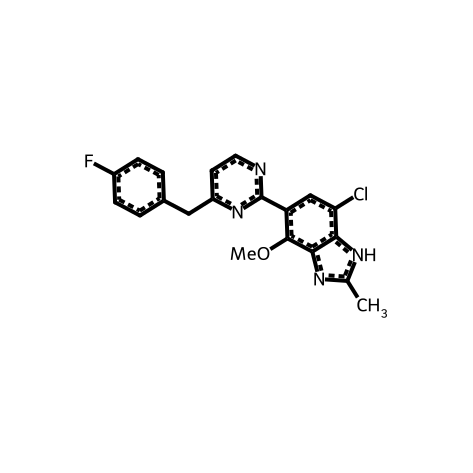 COc1c(-c2nccc(Cc3ccc(F)cc3)n2)cc(Cl)c2[nH]c(C)nc12